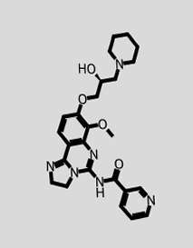 COc1c(OC[C@@H](O)CN2CCCCC2)ccc2c1N=C(NC(=O)c1cccnc1)N1CCN=C21